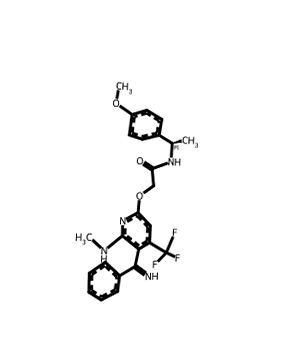 CNc1nc(OCC(=O)N[C@H](C)c2ccc(OC)cc2)cc(C(F)(F)F)c1C(=N)c1ccccc1